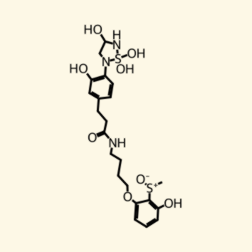 C[S+]([O-])c1c(O)cccc1OCCCCNC(=O)CCc1ccc(N2CC(O)NS2(O)O)c(O)c1